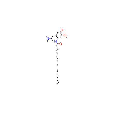 CCCCCCCCCCCCCCCC(=O)N1CC(N(C)C)Cc2cc(OC)c(OC)cc21